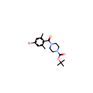 Cc1cc(Br)cc(C)c1C(=O)N1CCN(C(=O)OC(C)(C)C)CC1